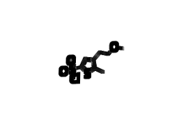 COCCc1cc(S(=O)(=O)Cl)sc1C